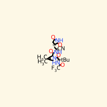 CC1(C)C2CN(C(=O)[C@@H](NC(=O)C(F)(F)F)C(C)(C)C)C(C(=O)N[C@H](C#N)C[C@@H]3CC(=O)NC3=O)C21